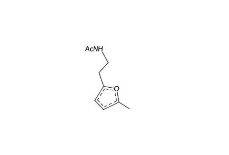 CC(=O)NCCc1ccc(C)o1